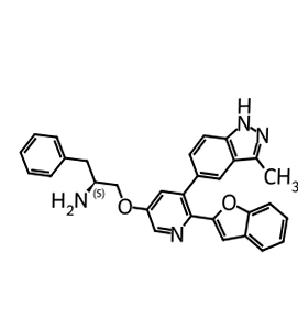 Cc1n[nH]c2ccc(-c3cc(OC[C@@H](N)Cc4ccccc4)cnc3-c3cc4ccccc4o3)cc12